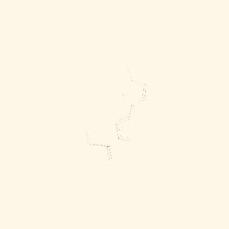 Cc1cc(-c2ccc(C(=O)N(C)C)s2)[nH]n1